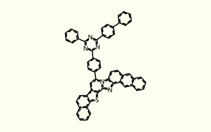 c1ccc(-c2ccc(-c3nc(-c4ccccc4)nc(-c4ccc(-c5cc6c7ccc8ccccc8c7sc6c6nc7c8cc9ccccc9cc8ccc7n56)cc4)n3)cc2)cc1